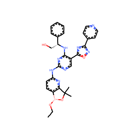 CCOB1OC(C)(C)c2nc(Nc3ncc(-c4nc(-c5ccncc5)no4)c(N[C@H](CO)c4ccccc4)n3)ccc21